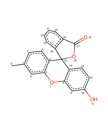 Cc1ccc2c(c1)Oc1cc(O)ccc1C21OC(=O)c2ccccc21